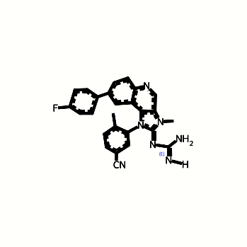 [H]/N=C(\N)N=c1n(C)c2cnc3ccc(-c4ccc(F)cc4)cc3c2n1-c1cc(C#N)ccc1C